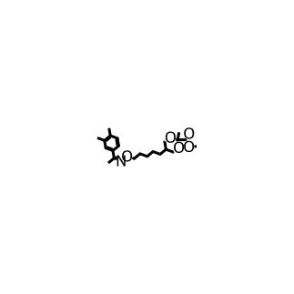 COC(=O)C1(C)OCC(CCCCCON=C(C)c2ccc(C)c(C)c2)CO1